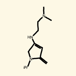 C=C1C=C(NCCN(C)C)CN1C(C)C